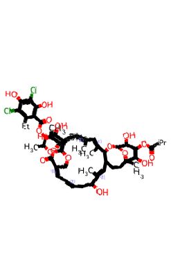 CCc1c(Cl)c(O)c(Cl)c(O)c1C(=O)OC1C(C)OC(OC/C2=C\C=C\CC(O)/C(C)=C/C3CCC4(C)OC(OC3/C(C)=C/C(C)=C/CC(C(C)O)OC2=O)C(O)C(OC(=O)C(C)C)C4O)C(OC)C1O